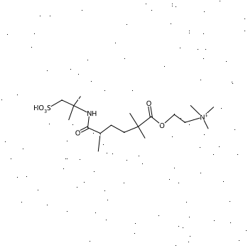 CC(CCC(C)(C)C(=O)OCC[N+](C)(C)C)C(=O)NC(C)(C)CS(=O)(=O)O